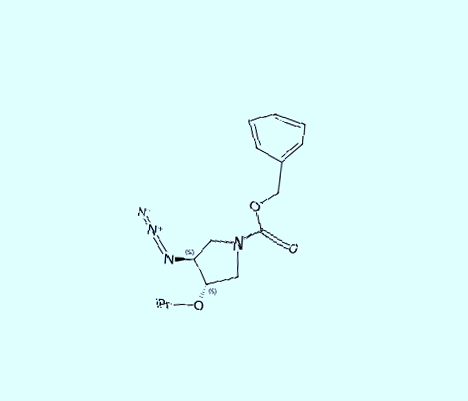 CC(C)O[C@H]1CN(C(=O)OCc2ccccc2)C[C@@H]1N=[N+]=[N-]